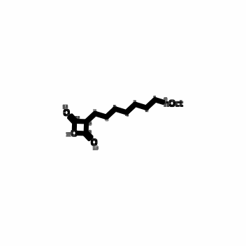 CCCCCCCCCCCCCCCC1C(=O)OC1=O